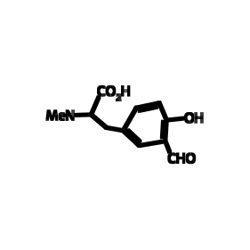 CNC(Cc1ccc(O)c(C=O)c1)C(=O)O